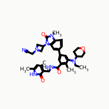 CCN(c1cc(-c2ccc3c(c2)n(C2CN(CC#N)C2)c(=O)n3C)cc(C(=O)NCc2c(C)cc(C)[nH]c2=O)c1C)C1CCOCC1